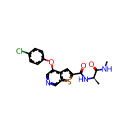 CNC(=O)[C@@H](C)NC(=O)c1cc2c(Oc3ccc(Cl)cc3)cncc2s1